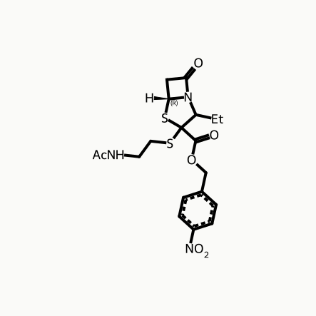 CCC1N2C(=O)C[C@H]2SC1(SCCNC(C)=O)C(=O)OCc1ccc([N+](=O)[O-])cc1